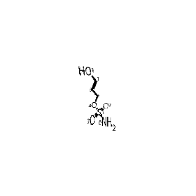 NS(=O)(=O)OCC=CO